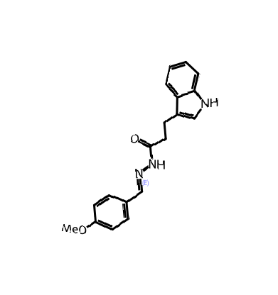 COc1ccc(/C=N/NC(=O)CCc2c[nH]c3ccccc23)cc1